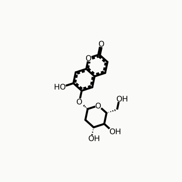 O=c1ccc2cc(O[C@H]3C[C@@H](O)C(O)[C@@H](CO)O3)c(O)cc2o1